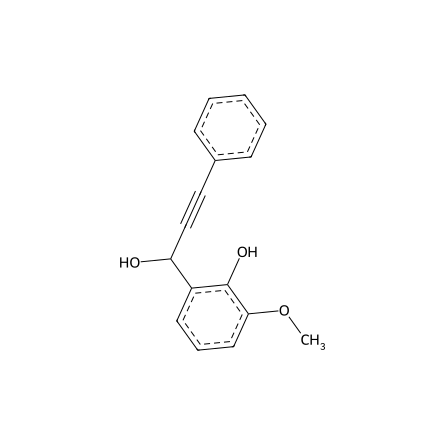 COc1cccc(C(O)C#Cc2ccccc2)c1O